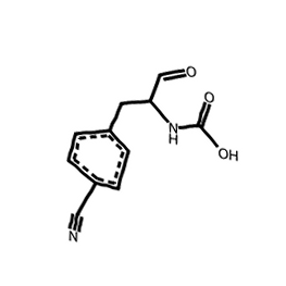 N#Cc1ccc(CC(C=O)NC(=O)O)cc1